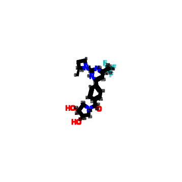 C[C@H]1CCN1c1nc(-c2ccc(C(=O)N3C[C@@H](O)[C@@H](O)C3)cc2)cc(C(F)(F)F)n1